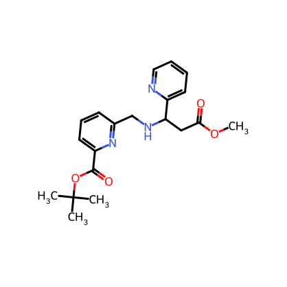 COC(=O)CC(NCc1cccc(C(=O)OC(C)(C)C)n1)c1ccccn1